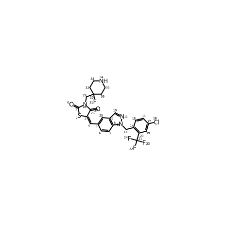 O=C1SC(=Cc2ccc3c(cnn3Cc3ccc(Cl)cc3C(F)(F)F)c2)C(=O)N1CC1(F)CCNCC1